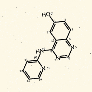 Oc1ccc2ncnc(Nc3ccccn3)c2c1